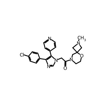 CN1CC2(C1)CN(C(=O)Cn1cnc(-c3ccc(Cl)cc3)c1-c1ccncc1)CCO2